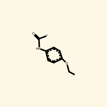 CCOc1ccc(NC(=O)F)cc1